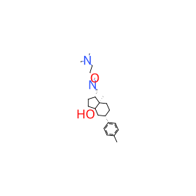 Cc1ccc([C@H]2CC[C@]3(C)[C@@H](C=NOCCN(C)C)CC[C@]3(O)C2)cc1